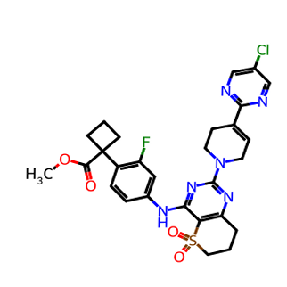 COC(=O)C1(c2ccc(Nc3nc(N4CC=C(c5ncc(Cl)cn5)CC4)nc4c3S(=O)(=O)CCC4)cc2F)CCC1